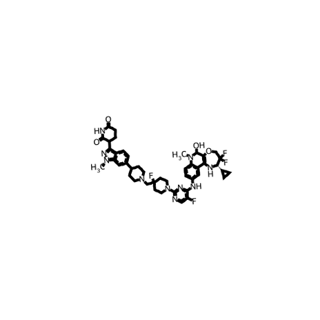 CN1c2ccc(Nc3nc(N4CCC(F)(CN5CCC(c6ccc7c(C8CCC(=O)NC8=O)nn(C)c7c6)CC5)CC4)ncc3F)cc2C2=C(OCC(F)(F)[C@H](C3CC3)N2)C1O